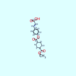 COC(=O)C1CCC(C(=O)Oc2ccc(/C=C/C(=O)O)cc2)CC1